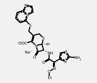 CCO/N=C(\C(=O)N[C@@H]1C(=O)N2C(C(=O)[O-])=C(CSc3cccc4nccn34)CS[C@@H]12)c1csc(N)n1.[Na+]